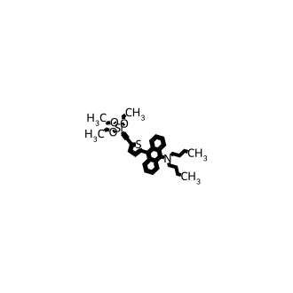 CCCCN(CCCC)c1c2ccccc2c(-c2ccc(C#C[Si](OCC)(OCC)OCC)s2)c2ccccc12